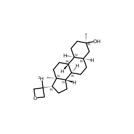 [2H]C1([C@H]2CC[C@H]3[C@@H]4CC[C@@H]5C[C@](C)(O)CC[C@@H]5[C@H]4CC[C@]23C)COC1